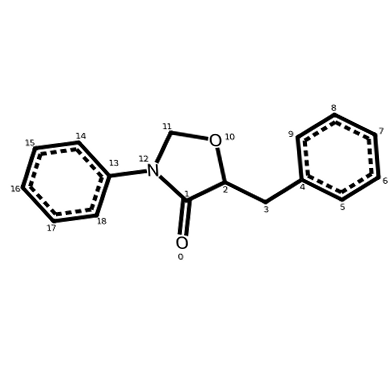 O=C1C(Cc2ccccc2)OCN1c1ccccc1